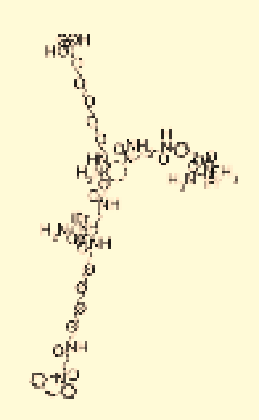 CC(C)[C@H](NC(=O)[C@@H](CCCCNC(=O)COC1CCCC(N(CCCCC(=O)Nc2ccc(COC(=O)N(C)[C@H](C(N)=O)C(C)C)cc2)C(N)=O)C/C(NCCOCCOCCOCCOCCOCCP(=O)(O)O)=C\1N)NC(=O)CCOCCOCCOCCOCCNC(=O)CCC(=O)N1Cc2ccccc2C#Cc2ccccc21)C(N)=O